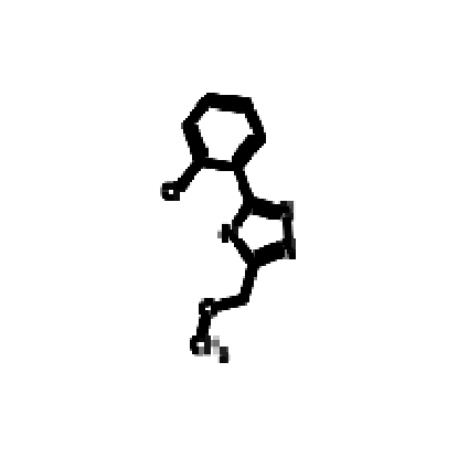 COCC1=NN=C(c2ccccc2Cl)[N]1